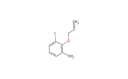 [CH2]c1cccc(F)c1OCC=C